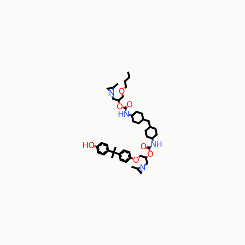 CCCCOCC(CN1CC1C)OC(=O)NC1CCC(CC2CCC(NC(=O)OC(COc3ccc(C(C)(C)c4ccc(O)cc4)cc3)CN3CC3C)CC2)CC1